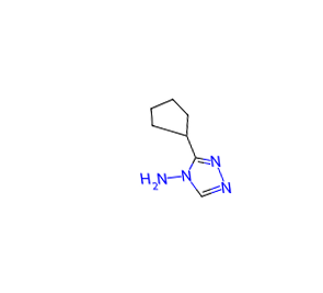 Nn1cnnc1C1CCCC1